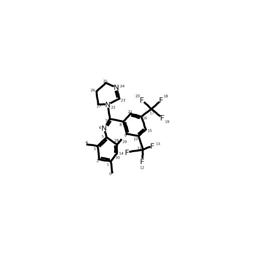 Cc1cc(C)c(/N=C(\c2cc(C(F)(F)F)cc(C(F)(F)F)c2)N2C=NCCC2)c(C)c1